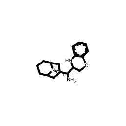 CN1C2CCCC1CC(C(N)C1COc3ccccc3N1)C2